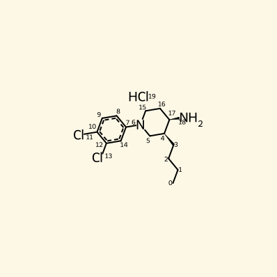 CCCC[C@H]1CN(c2ccc(Cl)c(Cl)c2)CC[C@H]1N.Cl